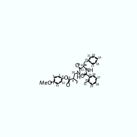 COc1ccc(OC(=O)C(C)CNC(=O)C(Cc2ccccc2)NC(=O)c2ccccc2C)cc1